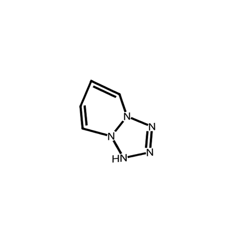 C1=CN2N=NNN2C=C1